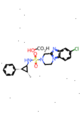 C[C@H]1[C@H](NS(=O)(=O)N2CCn3c(nc4cc(Cl)ccc43)C2)[C@H]1c1ccccc1.O=C(O)O